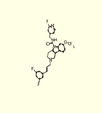 O=C(NCc1ccnc(F)c1)n1c2c(c3ccc(OC(F)(F)F)cc31)CN(C/C=C/c1cc(F)cc(F)c1)CC2